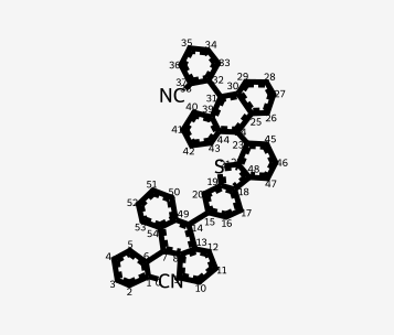 N#Cc1ccccc1-c1c2ccccc2c(-c2ccc3c(c2)sc2c(-c4c5ccccc5c(-c5ccccc5C#N)c5ccccc45)cccc23)c2ccccc12